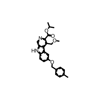 COCc1c(C(=O)OC(C)C)ncc2[nH]c3ccc(OCc4ccc(C)cc4)cc3c12